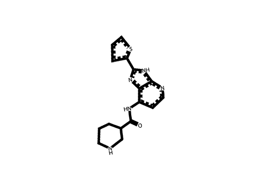 O=C(Nc1ccnc2[nH]c(-c3cccs3)nc12)C1CCCNC1